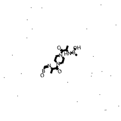 CB(O)NC(C)C(=O)N1CCN(C(=O)C(C)/N=C\B=O)CC1